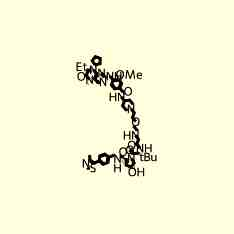 CC[C@@H]1C(=O)N(C)c2cnc(Nc3ccc(C(=O)NC4CCN(CCOCCNCC(=O)NC(C(=O)N5C[C@H](O)C[C@H]5C(=O)NCc5ccc(-c6scnc6C)cc5)C(C)(C)C)CC4)cc3OC)nc2N1C1CCCC1